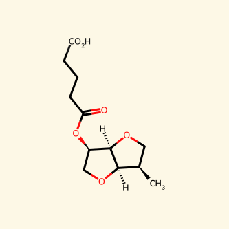 C[C@@H]1CO[C@H]2[C@@H]1OC[C@H]2OC(=O)CCCC(=O)O